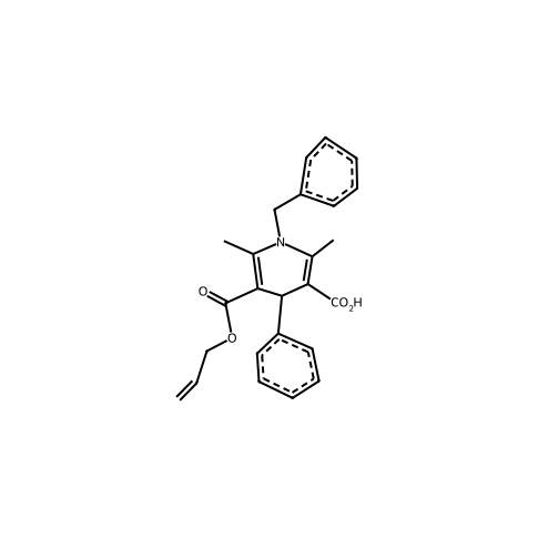 C=CCOC(=O)C1=C(C)N(Cc2ccccc2)C(C)=C(C(=O)O)C1c1ccccc1